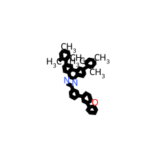 Cc1cc(C)c(-c2ccc3c(c2)c2cc(-c4c(C)cc(C)cc4C)ccc2c2nc(-c4cccc(-c5ccc6oc7ccccc7c6c5)c4)cnc32)c(C)c1